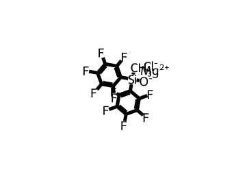 C[Si]([O-])(c1c(F)c(F)c(F)c(F)c1F)c1c(F)c(F)c(F)c(F)c1F.[Cl-].[Mg+2]